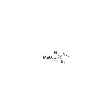 CCC(CC)(OOC)N(C)C